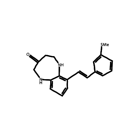 CSc1cccc(/C=C/c2cccc3c2NCCC(=O)CN3)c1